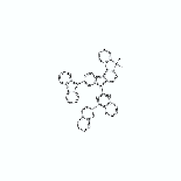 CC1(C)c2ccccc2-c2c1ccc1c2c2ccc(-n3c4ccccc4c4ccccc43)cc2n1-c1nc(-c2ccc3ccccc3c2)c2ccccc2n1